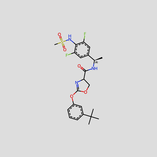 C[C@@H](NC(=O)C1COC(Oc2cccc(C(C)(C)C)c2)=N1)c1cc(F)c(NS(C)(=O)=O)c(F)c1